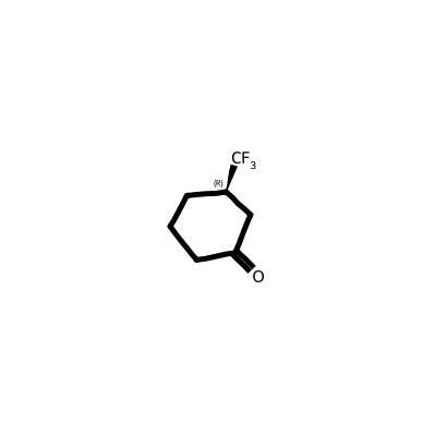 O=C1CCC[C@@H](C(F)(F)F)C1